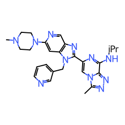 Cc1nnc2c(NC(C)C)nc(-c3nc4cnc(N5CCN(C)CC5)cc4n3Cc3cccnc3)cn12